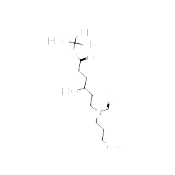 CCCCN(C=O)CCC(O)CCC(=O)OC(C)(C)C